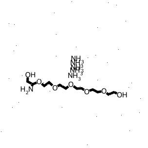 N.N.N.N.N.NC(CO)OCCOCCOCCOCCOCCO